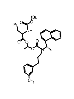 CC(C)CC(NC(=O)OC(C)(C)C)C(=O)OC(C)OC(=O)N(CCCc1cccc(C(F)(F)F)c1)[C@H](C)c1cccc2ccccc12